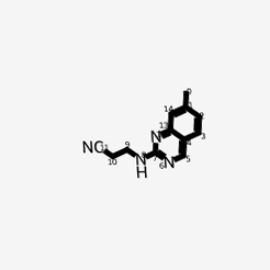 Cc1ccc2cnc(NCCC#N)nc2c1